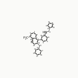 FC(F)(F)c1cccc2c(-c3cccc(NCc4ccsc4)c3)c(Cc3ccccc3)cnc12